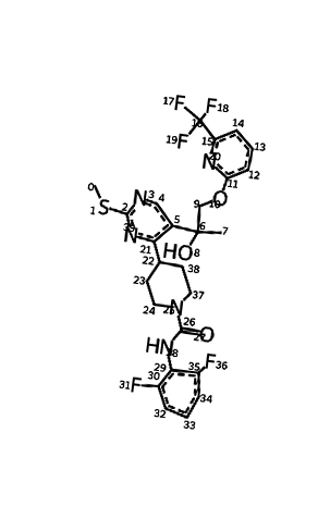 CSc1ncc(C(C)(O)COc2cccc(C(F)(F)F)n2)c(C2CCN(C(=O)Nc3c(F)cccc3F)CC2)n1